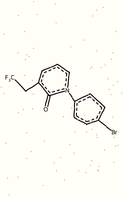 O=c1c(CC(F)(F)F)cccn1-c1ccc(Br)cc1